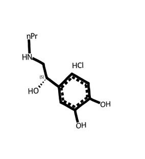 CCCNC[C@@H](O)c1ccc(O)c(O)c1.Cl